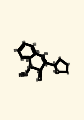 CCCCn1c(=O)c(C2CCCO2)nc2ccccc21